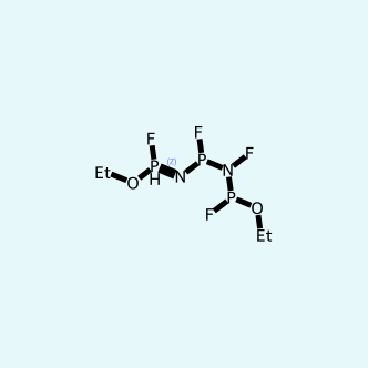 CCOP(F)N(F)P(F)/N=[PH](\F)OCC